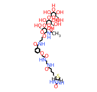 CC(=O)N[C@H]1[C@H](OCCCNC(=O)c2cccc(OCC(=O)NCCNC(=O)CCCC[C@@H]3SC[C@@H]4NC(=O)N[C@@H]43)c2)O[C@H](CO)[C@@H](O[C@@H]2O[C@H](CO)[C@H](O)[C@H](O[C@H]3O[C@H](CO)[C@H](O)[C@H](O)[C@H]3O)[C@H]2O)[C@@H]1O